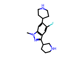 Cn1nc(C2CCCNC2)c2cc(F)c(C3CCNCC3)cc21